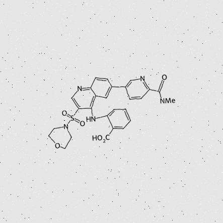 CNC(=O)c1ccc(-c2ccc3ncc(S(=O)(=O)N4CCOCC4)c(Nc4ccccc4C(=O)O)c3c2)cn1